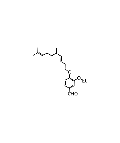 CCOc1cc(C=O)ccc1OCCC=CC(C)CCC=C(C)C